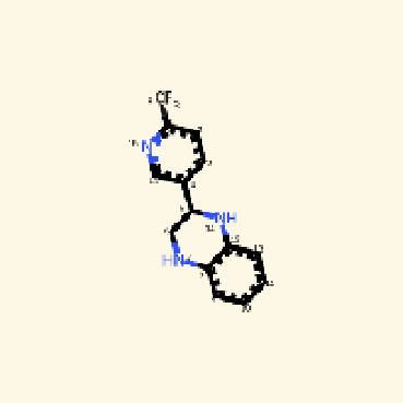 FC(F)(F)c1ccc(C2CNc3ccccc3N2)cn1